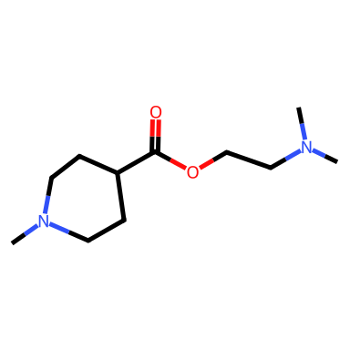 CN(C)CCOC(=O)C1CCN(C)CC1